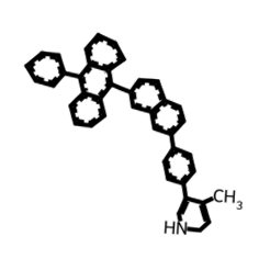 CC1=CCNC=C1c1ccc(-c2ccc3ccc(-c4c5ccccc5c(-c5ccccc5)c5ccccc45)cc3c2)cc1